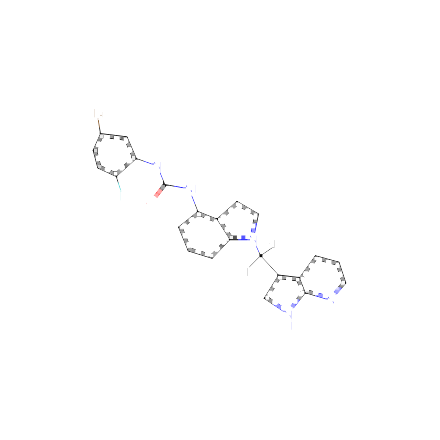 [2H]C([2H])(c1c[nH]c2ncccc12)n1ccc2c(NC(=O)Nc3cc(Br)ccc3F)cccc21